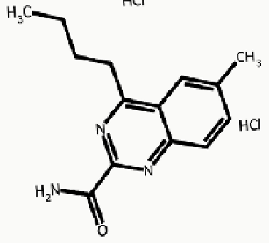 CCCCc1nc(C(N)=O)nc2ccc(C)cc12.Cl.Cl